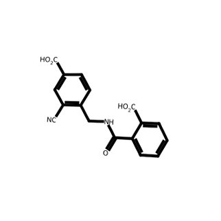 N#Cc1cc(C(=O)O)ccc1CNC(=O)c1ccccc1C(=O)O